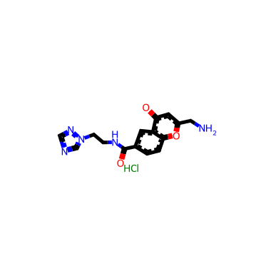 Cl.NCc1cc(=O)c2cc(C(=O)NCCn3cncn3)ccc2o1